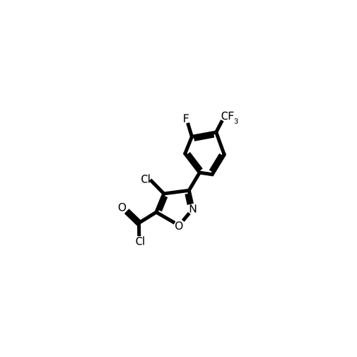 O=C(Cl)c1onc(-c2ccc(C(F)(F)F)c(F)c2)c1Cl